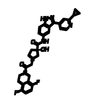 O=C(CN1CC[C@@](O)(C(=O)Nc2ccc3[nH]nc(-c4ccnc(C5CC5)c4)c3c2)C1)N1CCc2c(F)ccc(F)c2C1